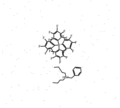 CCCC[NH+](CCCC)Cc1ccccc1.Fc1c(F)c(F)c([B-](c2c(F)c(F)c(F)c(F)c2F)(c2c(F)c(F)c(F)c(F)c2F)c2c(F)c(F)c(F)c(F)c2F)c(F)c1F